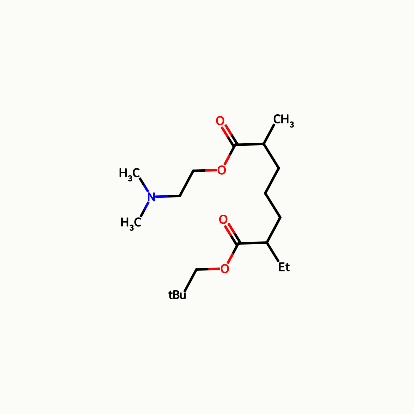 CCC(CCCC(C)C(=O)OCCN(C)C)C(=O)OCC(C)(C)C